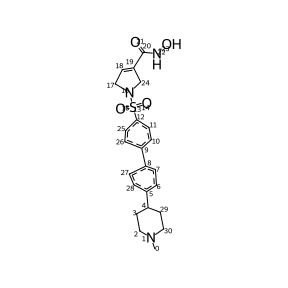 CN1CCC(c2ccc(-c3ccc(S(=O)(=O)N4CC=C(C(=O)NO)C4)cc3)cc2)CC1